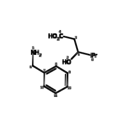 CC(C)C(O)CC(=O)O.NCc1ccccc1